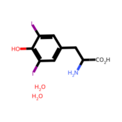 NC(Cc1cc(I)c(O)c(I)c1)C(=O)O.O.O